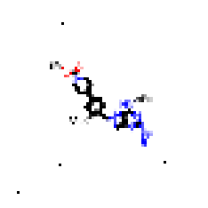 CCCCNc1nc(N=[N+]=[N-])nc2cn(Cc3ccc(C4=CCN(C(=O)OC(C)(C)C)CC4)cc3OC)nc12